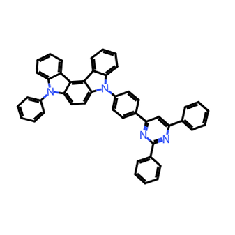 c1ccc(-c2cc(-c3ccc(-n4c5ccccc5c5c6c7ccccc7n(-c7ccccc7)c6ccc54)cc3)nc(-c3ccccc3)n2)cc1